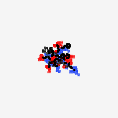 CC[C@H](C)[C@H](NC(=O)[C@H](Cc1ccc(O)cc1)NC(=O)[C@H](CCC(=O)O)NC(=O)[C@@H](N)Cc1ccccc1)C(=O)N[C@@H](CCC(=O)O)C(=O)N[C@@H](CCC(=O)O)C(=O)N[C@@H](CC(N)=O)C(=O)N[C@@H](CCCCN)C(=O)N[C@@H](Cc1ccc(O)cc1)C(=O)N[C@@H](CO)C(=O)N[C@@H](CCCNC(=N)N)C(=O)O